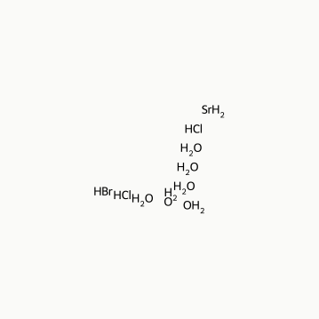 Br.Cl.Cl.O.O.O.O.O.O.[SrH2]